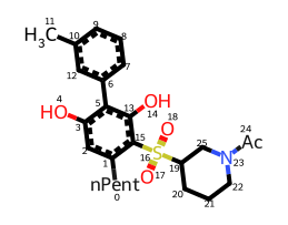 CCCCCc1cc(O)c(-c2cccc(C)c2)c(O)c1S(=O)(=O)C1CCCN(C(C)=O)C1